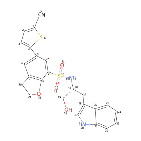 N#Cc1ccc(-c2cc3c(c(S(=O)(=O)N[C@@H](CO)Cc4c[nH]c5ccccc45)c2)OCC3)s1